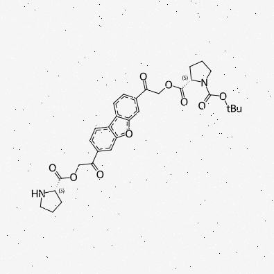 CC(C)(C)OC(=O)N1CCC[C@H]1C(=O)OCC(=O)c1ccc2c(c1)oc1cc(C(=O)COC(=O)[C@@H]3CCCN3)ccc12